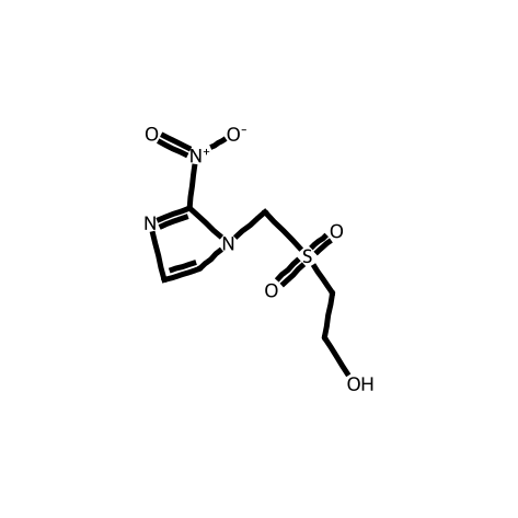 O=[N+]([O-])c1nccn1CS(=O)(=O)CCO